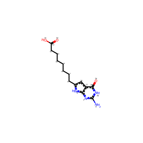 Nc1nc2[nH]c(CCCCCCCC(=O)O)cc2c(=O)[nH]1